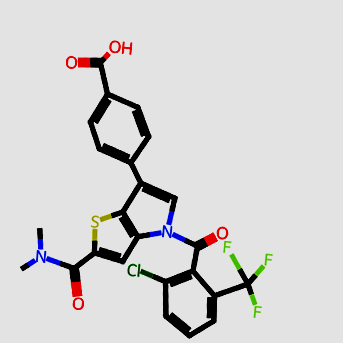 CN(C)C(=O)c1cc2c(s1)c(-c1ccc(C(=O)O)cc1)cn2C(=O)c1c(Cl)cccc1C(F)(F)F